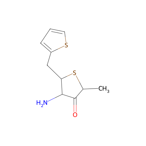 CC1SC(Cc2cccs2)C(N)C1=O